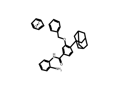 Nc1ccccc1NC(=O)c1ccc(C23CC4CC(CC(C4)C2)C3)c(OCc2ccccc2)c1.c1cc2ccc1CO2